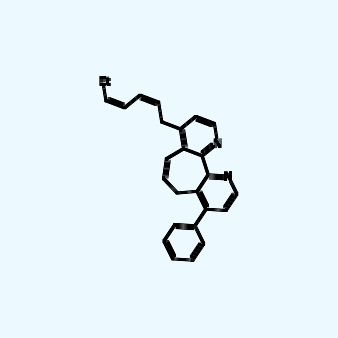 CC/C=C\C=C/Cc1ccnc2c1C=CCc1c(-c3ccccc3)ccnc1-2